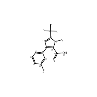 Cn1c(C(C)(C)C)nc(-c2cccc(F)c2)c1C(=O)O